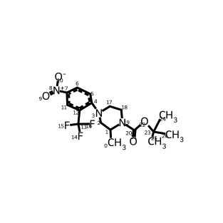 CC1CN(c2ccc([N+](=O)[O-])cc2C(F)(F)F)CCN1C(=O)OC(C)(C)C